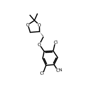 CC1(C)OC[C@@H](COc2cc(Cl)c(C#N)cc2Cl)O1